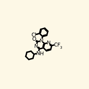 O=c1nc(NC2CCCCC2)c2ccc(C(F)(F)F)nc2n1-c1ccccc1Cl